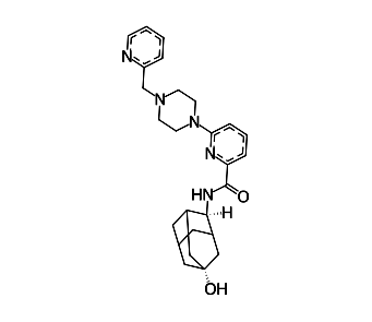 O=C(N[C@H]1C2CC3CC1C[C@](O)(C3)C2)c1cccc(N2CCN(Cc3ccccn3)CC2)n1